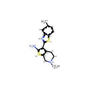 Cc1ccc2sc(-c3c(N)sc4c3CCN(C(=O)O)C4)nc2c1